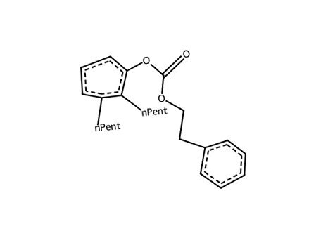 CCCCCc1cccc(OC(=O)OCCc2ccccc2)c1CCCCC